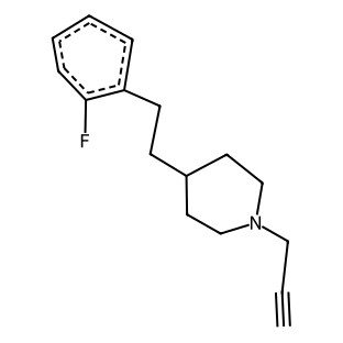 C#CCN1CCC(CCc2ccccc2F)CC1